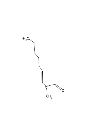 [CH2]CCCCC=CN(C)C=O